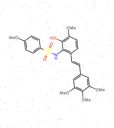 COc1ccc(S(=O)(=O)Nc2c(C=Cc3cc(OC)c(OC)c(OC)c3)ccc(OC)c2O)cc1